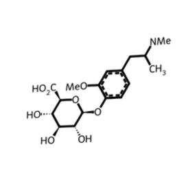 CNC(C)Cc1ccc(O[C@@H]2O[C@H](C(=O)O)[C@@H](O)[C@H](O)[C@H]2O)c(OC)c1